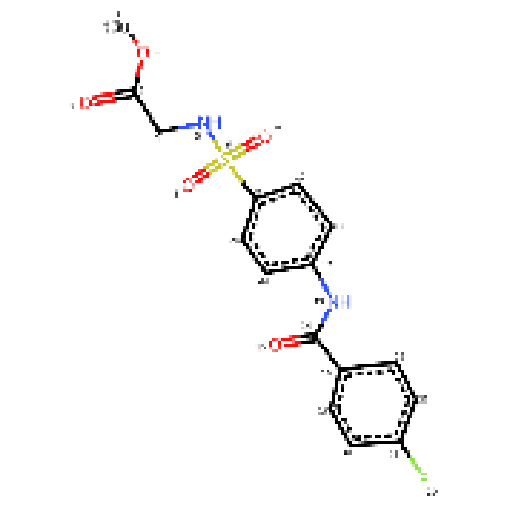 CC(C)(C)OC(=O)CNS(=O)(=O)c1ccc(NC(=O)c2ccc(F)cc2)cc1